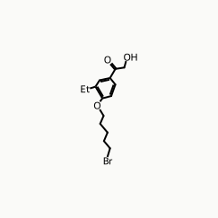 CCc1cc(C(=O)CO)ccc1OCCCCCBr